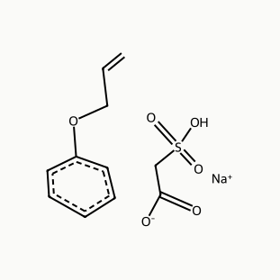 C=CCOc1ccccc1.O=C([O-])CS(=O)(=O)O.[Na+]